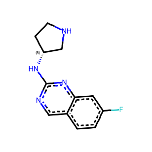 Fc1ccc2cnc(N[C@@H]3CCNC3)nc2c1